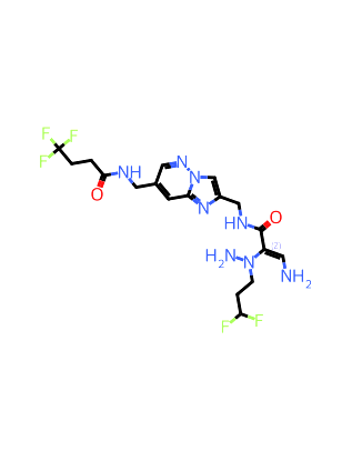 N/C=C(/C(=O)NCc1cn2ncc(CNC(=O)CCC(F)(F)F)cc2n1)N(N)CCC(F)F